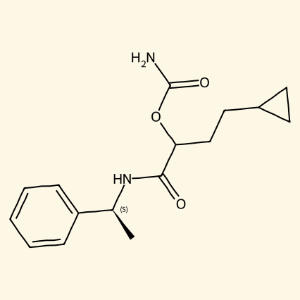 C[C@H](NC(=O)C(CCC1CC1)OC(N)=O)c1ccccc1